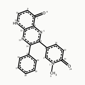 Cn1cc(-c2nc3c(=O)cc[nH]c3nc2-c2ccccc2)ccc1=O